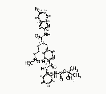 CN(C)CCCN(Cc1ccc(C(=O)Nc2ccccc2NC(=O)OC(C)(C)C)nc1)C(=O)Nc1nc2ccc(F)cc2s1